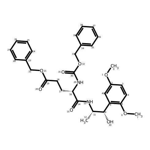 COc1ccc(OC)c([C@H](O)[C@H](C)NC(=O)[C@H](CCC(=O)OCc2ccccc2)NC(=O)OCc2ccccc2)c1